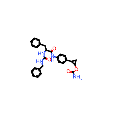 NC(=O)OC1CC1c1ccc(NC(=O)C(Cc2ccccc2)NC(=O)NCc2ccccc2)cc1